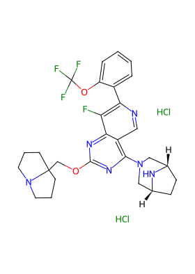 Cl.Cl.Fc1c(-c2ccccc2OC(F)(F)F)ncc2c(N3C[C@H]4CC[C@@H](C3)N4)nc(OCC34CCCN3CCC4)nc12